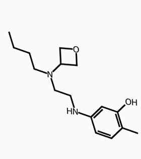 CCCCN(CCNc1ccc(C)c(O)c1)C1COC1